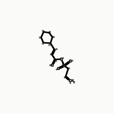 C=CCS(=O)(=O)OC(=O)C=CC1CCCCC1